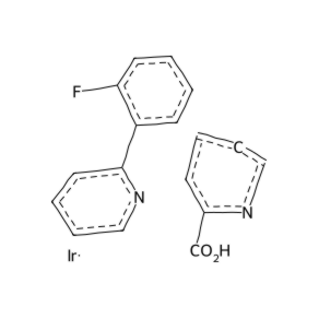 Fc1ccccc1-c1ccccn1.O=C(O)c1ccccn1.[Ir]